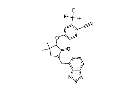 CC1(C)CN(Cc2cccc3nsnc23)C(=O)C1Oc1ccc(C#N)c(C(F)(F)F)c1